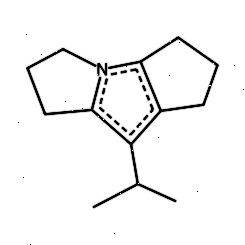 CC(C)c1c2c(n3c1CCC3)CCC2